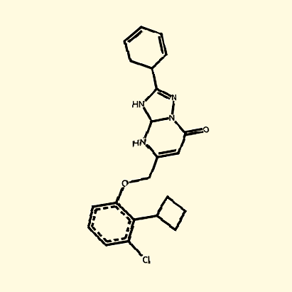 O=C1C=C(COc2cccc(Cl)c2C2CCC2)NC2NC(C3C=CC=CC3)=NN12